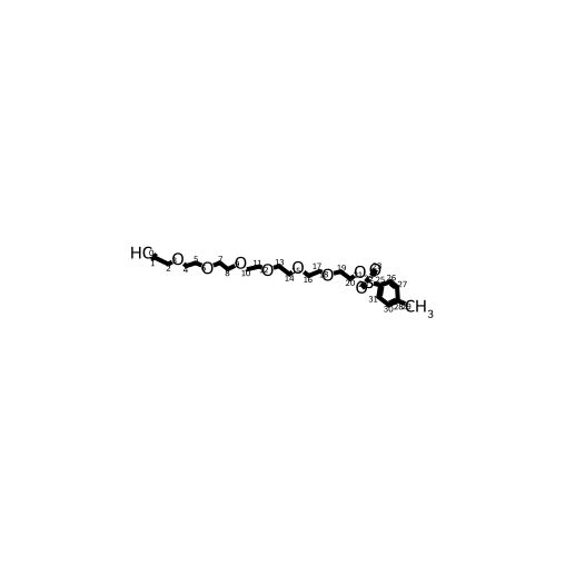 C#CCOCCOCCOCCOCCOCCOCCOS(=O)(=O)c1ccc(C)cc1